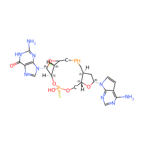 Nc1nc2c(ncn2[C@@H]2OC3CPC[C@H]4C[C@H](n5ccc6c(N)ncnc65)O[C@@H]4COP(O)(=S)O[C@@H]2[C@@H]3F)c(=O)[nH]1